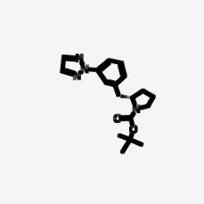 CC(C)(C)OC(=O)N1CCC[C@H]1Cc1cccc(-n2nccn2)c1